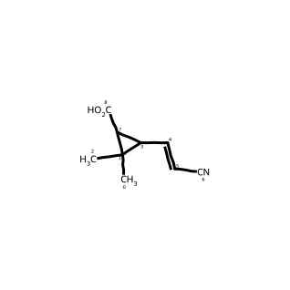 CC1(C)C(/C=C/C#N)C1C(=O)O